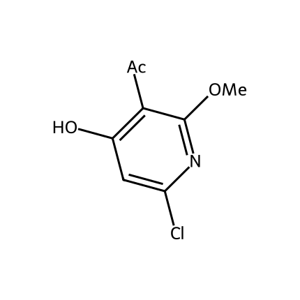 COc1nc(Cl)cc(O)c1C(C)=O